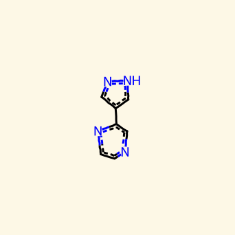 c1cnc(-c2cn[nH]c2)cn1